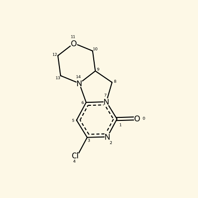 O=c1nc(Cl)cc2n1CC1COCCN21